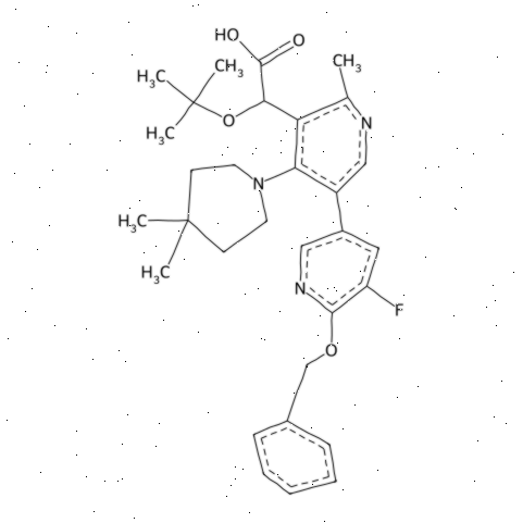 Cc1ncc(-c2cnc(OCc3ccccc3)c(F)c2)c(N2CCC(C)(C)CC2)c1C(OC(C)(C)C)C(=O)O